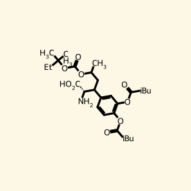 CCC(C)C(=O)Oc1ccc(C(CC(C)OC(=O)OC(C)(C)CC)[C@H](N)C(=O)O)cc1OC(=O)C(C)CC